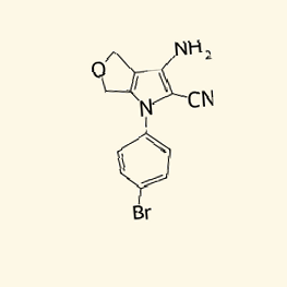 N#Cc1c(N)c2c(n1-c1ccc(Br)cc1)COC2